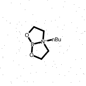 CCCC[N+]12CCOB1OCC2